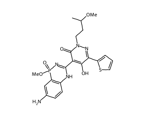 COC(C)CCn1nc(-c2cccs2)c(O)c(C2=NP(=O)(OC)c3cc(N)ccc3N2)c1=O